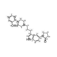 COc1cncnc1N1CCN(CCCc2c[nH]c3ccc(N4CCCC4=O)cc23)CC1